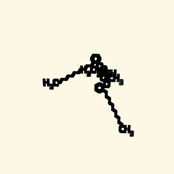 CCCCCCCCCCCCc1ccccc1OC(C)OP(=O)(S)SC(C)Oc1ccccc1CCCCCCCCCCCC